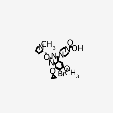 COc1cc2c(N3CCN(C(=O)O)CC3)nc(OC[C@@H]3CCCN3C)nc2c(OC2CC2)c1Br